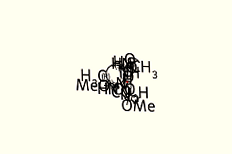 COC[C@@H]1C[C@H](C)CCC=C[C@@H]2C[C@@]2(C(=O)NS(=O)(=O)C2(C)CC2)NC(=O)[C@@H]2C[C@@H](Oc3ncc(OC)c4ccccc34)CN2C(=O)[C@H]1NC(=O)O